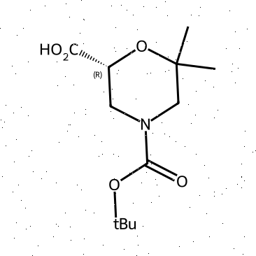 CC(C)(C)OC(=O)N1C[C@H](C(=O)O)OC(C)(C)C1